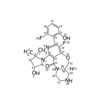 CC1(C)CC(O)CN1c1nc(-c2c(O)cccc2F)c(F)c2c1C(=O)N1CCNC[C@@H]1CO2